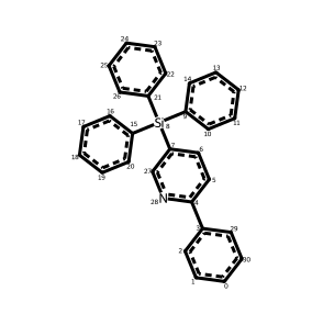 c1ccc(-c2ccc([Si](c3ccccc3)(c3ccccc3)c3ccccc3)cn2)cc1